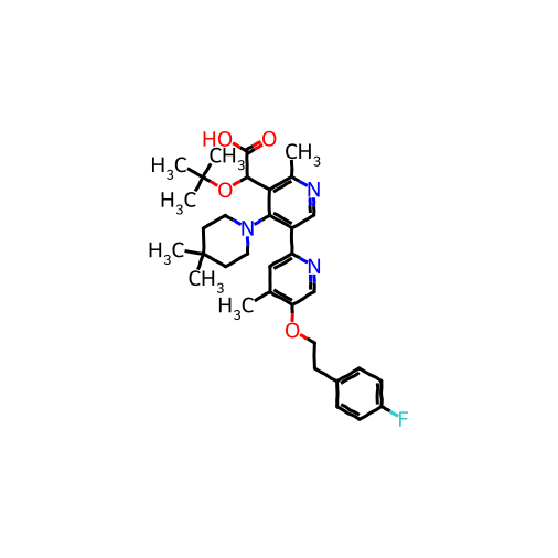 Cc1cc(-c2cnc(C)c(C(OC(C)(C)C)C(=O)O)c2N2CCC(C)(C)CC2)ncc1OCCc1ccc(F)cc1